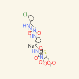 CC(=O)OCC1=C(C(=O)[O-])N2C(=O)C(NC(=O)Cc3cccc(NC(=O)N4CC5C(c6cccc(Cl)c6)NN5C4=O)c3)[C@@H]2SC1.[Na+]